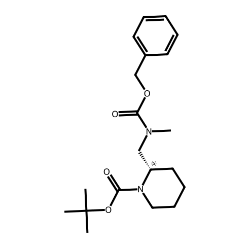 CN(C[C@@H]1CCCCN1C(=O)OC(C)(C)C)C(=O)OCc1ccccc1